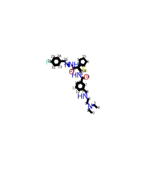 CCN(CC)CCNCc1cccc(C(=O)Nc2sc3c(c2C(=O)N/N=C/c2ccc(F)cc2)CCC3)c1